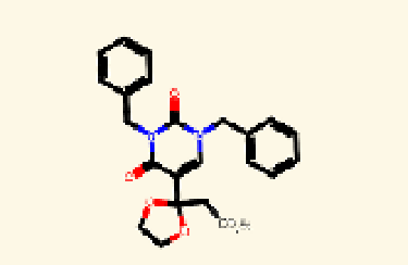 CCOC(=O)CC1(c2cn(Cc3ccccc3)c(=O)n(Cc3ccccc3)c2=O)OCCO1